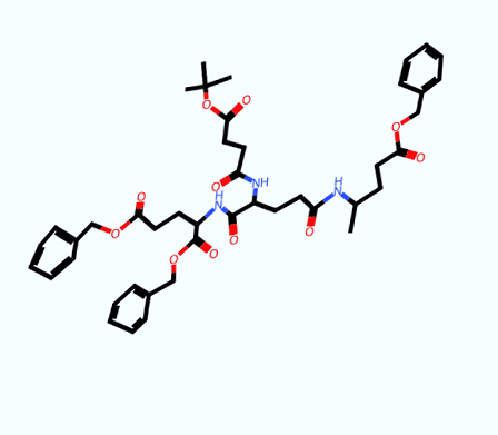 CC(CCC(=O)OCc1ccccc1)NC(=O)CCC(NC(=O)CCC(=O)OC(C)(C)C)C(=O)NC(CCC(=O)OCc1ccccc1)C(=O)OCc1ccccc1